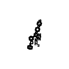 CN1CCN([C@H]2CC[C@H](n3cc(-c4cccc(OCC56CCC(CC5)O6)c4)c4c(N)ncnc43)CC2)CC1